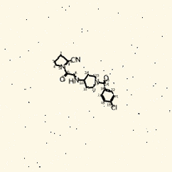 N#C[C@@H]1CCCN1C(=O)CNC1CCN(C(=O)c2ccc(Cl)cc2)CC1